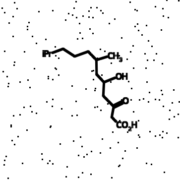 CC(C)CCCC(C)CC(O)CC(=O)CC(=O)O